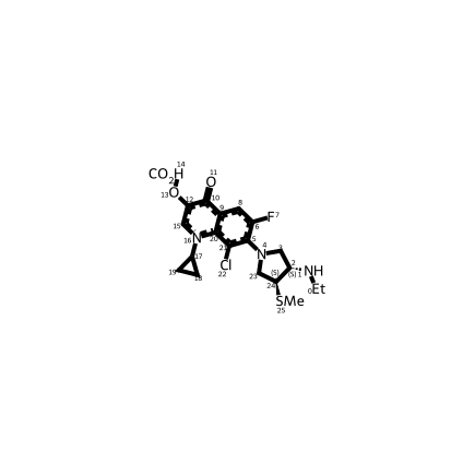 CCN[C@H]1CN(c2c(F)cc3c(=O)c(OC(=O)O)cn(C4CC4)c3c2Cl)C[C@@H]1SC